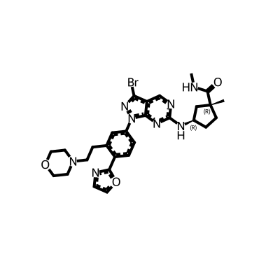 CNC(=O)[C@]1(C)CC[C@@H](Nc2ncc3c(Br)nn(-c4ccc(-c5ncco5)c(CCN5CCOCC5)c4)c3n2)C1